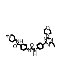 CCc1nc(-c2ccc(NC(=O)Nc3ccc(C(=O)NC4CCN(C)CC4)cc3)cc2)nc(N2CCOCC2)n1